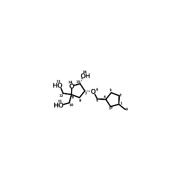 CC1CCC(CO[C@@H]2CC(CO)(CO)O[C@@H]2O)C1